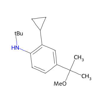 COC(C)(C)c1ccc(NC(C)(C)C)c(C2CC2)c1